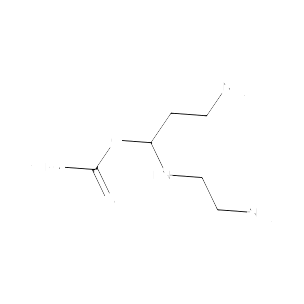 CCCCCCC(=O)OC(CCN)NCCN